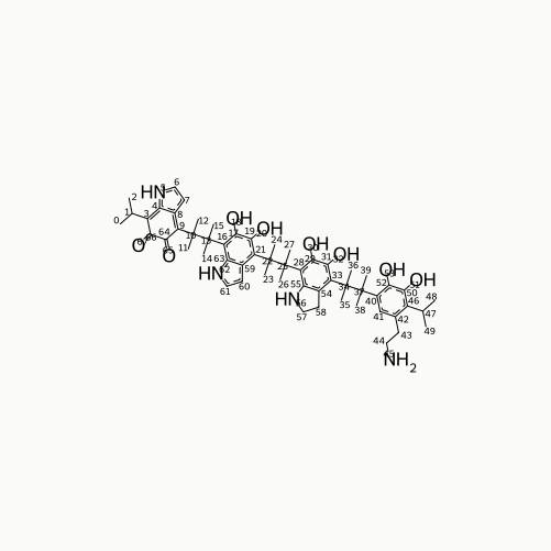 CC(C)C1=c2[nH]ccc2=C(C(C)(C)C(C)(C)c2c(O)c(O)c(C(C)(C)C(C)(C)c3c(O)c(O)c(C(C)(C)C(C)(C)c4cc(CCN)c(C(C)C)c(O)c4O)c4c3NCC4)c3cc[nH]c23)C(=O)C1=O